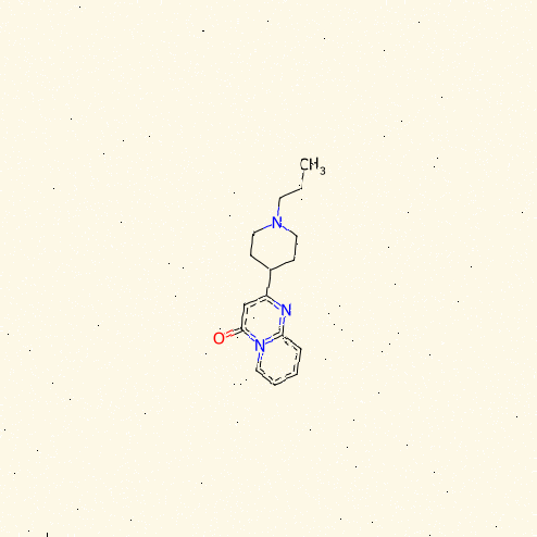 CCCN1CCC(c2cc(=O)n3ccccc3n2)CC1